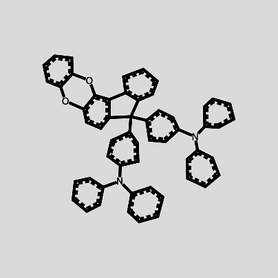 c1ccc(N(c2ccccc2)c2ccc(C3(c4ccc(N(c5ccccc5)c5ccccc5)cc4)c4ccccc4-c4c3ccc3c4Oc4ccccc4O3)cc2)cc1